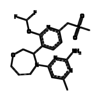 Cc1cc(N2CCCOCC2c2ccc(CS(C)(=O)=O)nc2OC(F)F)nc(N)n1